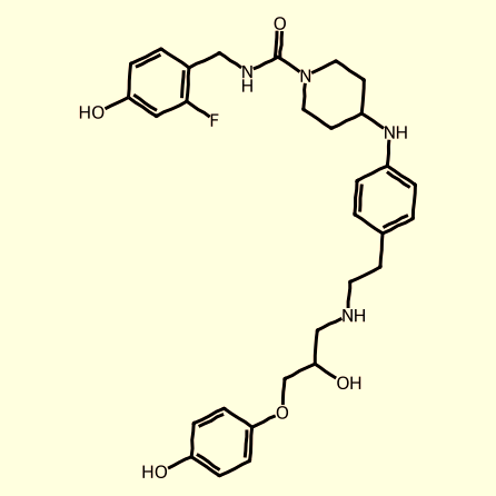 O=C(NCc1ccc(O)cc1F)N1CCC(Nc2ccc(CCNCC(O)COc3ccc(O)cc3)cc2)CC1